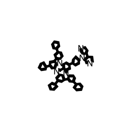 N#Cc1c(-n2c3ccc(-c4ccccc4)cc3c3cc(-c4ccccc4)ccc32)cc(-c2ccc(-n3c4cnccc4c4ccncc43)cc2)cc1-n1c2ccc(-c3ccccc3)cc2c2cc(-c3ccccc3)ccc21